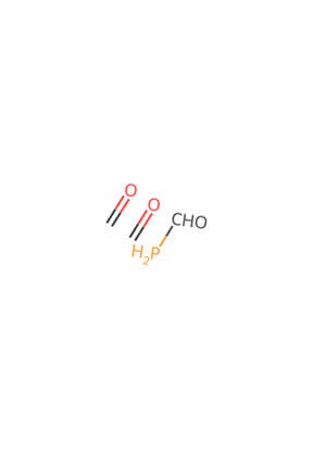 C=O.C=O.O=CP